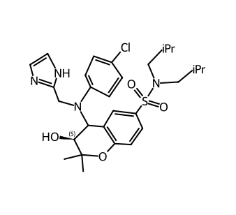 CC(C)CN(CC(C)C)S(=O)(=O)c1ccc2c(c1)C(N(Cc1ncc[nH]1)c1ccc(Cl)cc1)[C@H](O)C(C)(C)O2